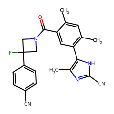 Cc1cc(C)c(-c2[nH]c(C#N)nc2C)cc1C(=O)N1CC(F)(c2ccc(C#N)cc2)C1